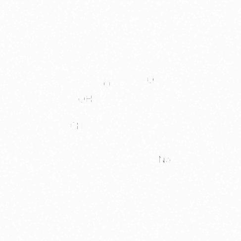 CO.[Na][c]1cccc2c1COCO2